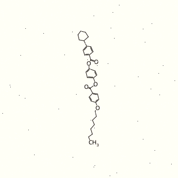 CCCCCCCCOc1ccc(C(=O)Oc2ccc(OC(=O)c3ccc(C4CCCCC4)cc3)cc2)cc1